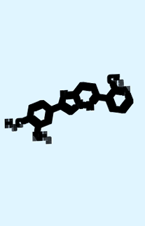 Cc1ccc(-c2cn3nc(-c4cccnc4C(F)(F)F)ccc3n2)cc1N